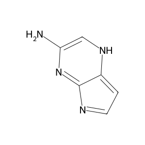 Nc1c[nH]c2ccnc-2n1